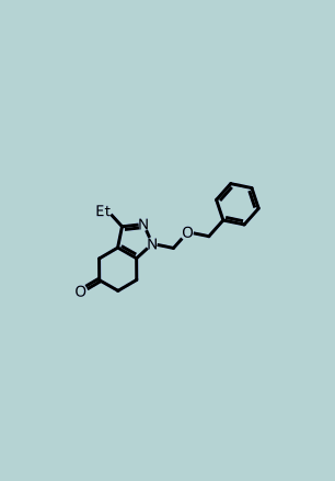 CCc1nn(COCc2ccccc2)c2c1CC(=O)CC2